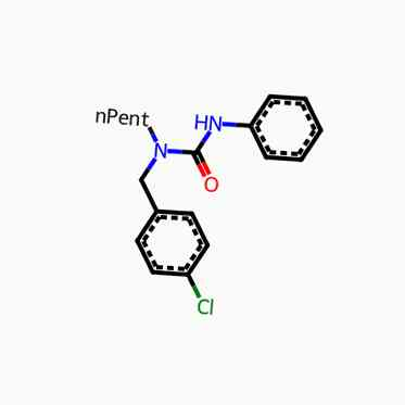 CCCCCN(Cc1ccc(Cl)cc1)C(=O)Nc1ccccc1